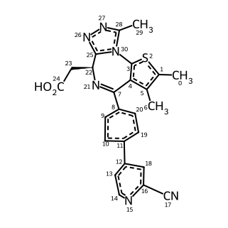 Cc1sc2c(c1C)C(c1ccc(-c3ccnc(C#N)c3)cc1)=N[C@@H](CC(=O)O)c1nnc(C)n1-2